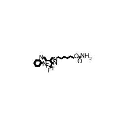 NC(=O)OCCCCCCn1cc(-c2cnc3ccccc3n2)c(C(F)(F)F)n1